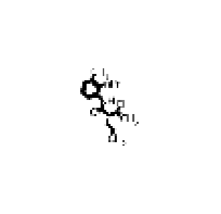 C=CC[C@H](C(=C)Cl)C(=O)Nc1cccc(C)c1CCC